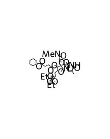 CCOP(=O)(C[C@H](C)[C@H]1O[C@@H](n2cc(C)c(=O)[nH]c2=O)[C@H](OCC(=O)NC)[C@@H]1OC(=O)CCC(=O)OC1CCCCC1)OCC